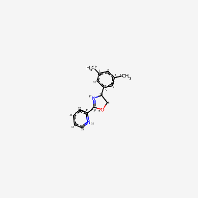 Cc1cc(C)cc(C2COC(c3ccccn3)=N2)c1